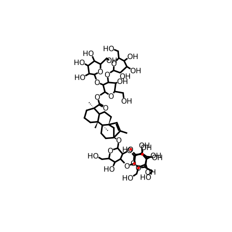 CC1=C[C@@]23CCC4[C@](C)(C(=O)OC5OC(CO)C(O)C(OC6OC(CO)C(O)C(O)C6O)C5OC5OC(CO)C(O)C(O)C5O)CCC[C@@]4(C)[C@]2(C)CC[C@]1(OC1OC(CO)C(O)C(OC2OC(CO)C(O)C(O)C2O)C1OC1OC(CO)C(O)C(O)C1O)C3